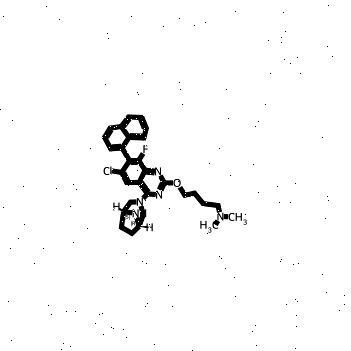 CN(C)CCCCOc1nc(N2C[C@H]3CC[C@@H](C2)N3)c2cc(Cl)c(-c3cccc4ccccc34)c(F)c2n1